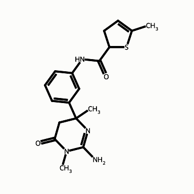 CC1=CCC(C(=O)Nc2cccc(C3(C)CC(=O)N(C)C(N)=N3)c2)S1